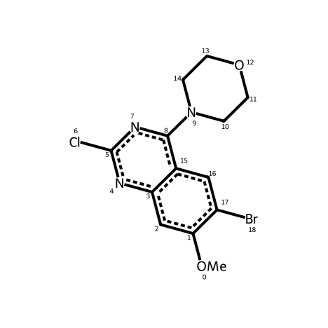 COc1cc2nc(Cl)nc(N3CCOCC3)c2cc1Br